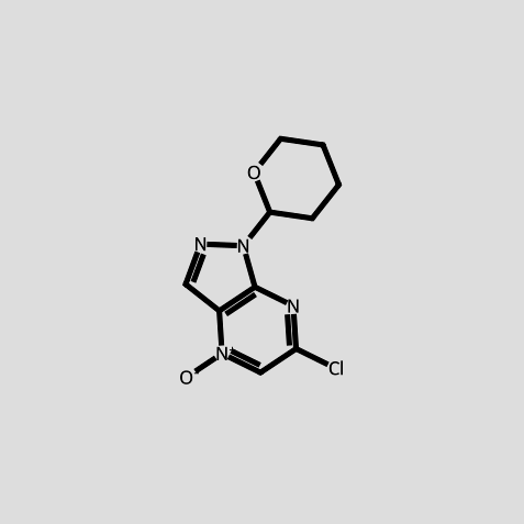 [O-][n+]1cc(Cl)nc2c1cnn2C1CCCCO1